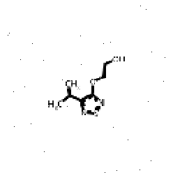 CC(C)c1nsnc1OCCO